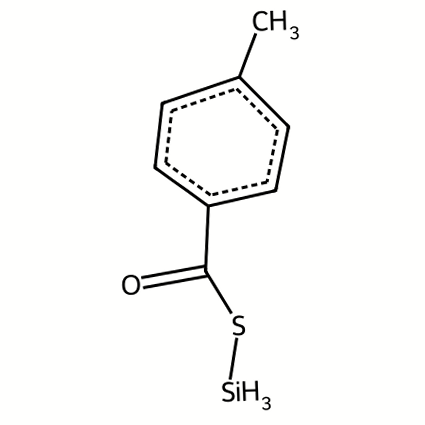 Cc1ccc(C(=O)S[SiH3])cc1